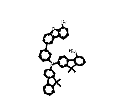 CC(C)c1cccc2c1oc1ccc(-c3cccc(N(c4ccc5c(c4)C(C)(C)c4ccccc4-5)c4ccc5c(c4)C(C)(C)c4cccc(C(C)(C)C)c4-5)c3)cc12